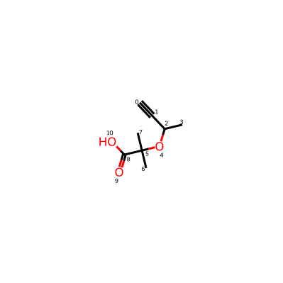 C#CC(C)OC(C)(C)C(=O)O